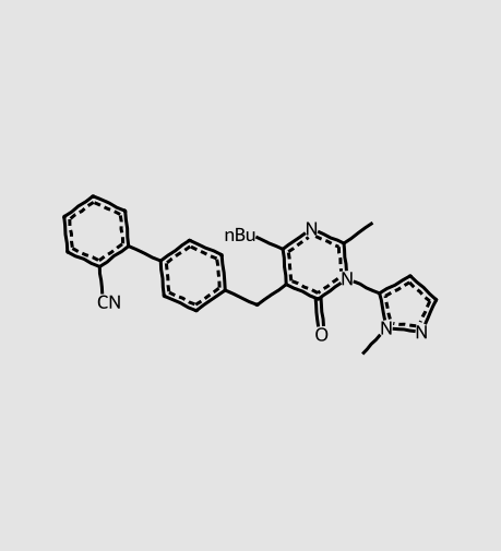 CCCCc1nc(C)n(-c2ccnn2C)c(=O)c1Cc1ccc(-c2ccccc2C#N)cc1